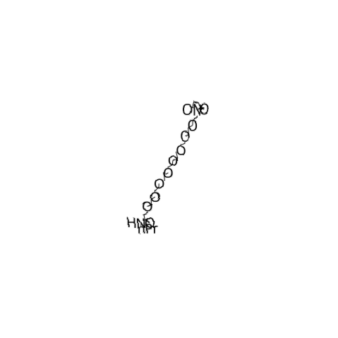 CCCNC(=O)CCOCCOCCOCCOCCOCCOCCOCCOCCN1C(=O)C=CC1=O